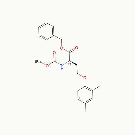 Cc1ccc(OCC[C@@H](NC(=O)OC(C)(C)C)C(=O)OCc2ccccc2)c(C)c1